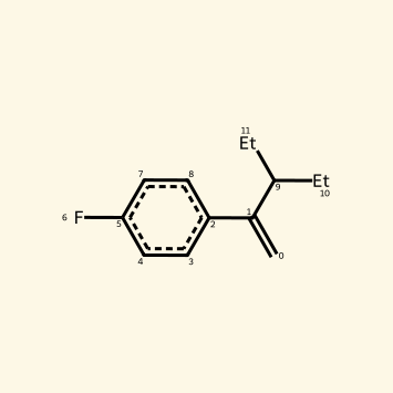 C=C(c1ccc(F)cc1)C(CC)CC